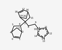 C1=CC2CC1CC2C1(CCn2ccnc2)CC2C=CC1C2